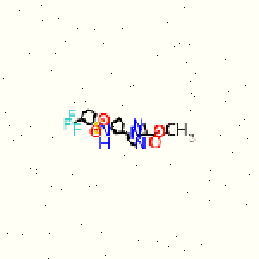 CCOC(=O)c1cnn2c(-c3cccc(NS(=O)(=O)c4cccc(C(F)(F)F)c4)c3)ccnc12